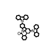 O=C1c2ccccc2C2CC(n3c4ccccc4c4ccccc43)=Cc3c2n1c1ccc(-n2c4ccccc4c4ccccc42)cc31